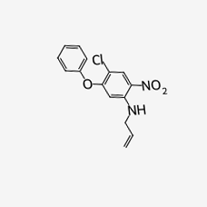 C=CCNc1cc(Oc2ccccc2)c(Cl)cc1[N+](=O)[O-]